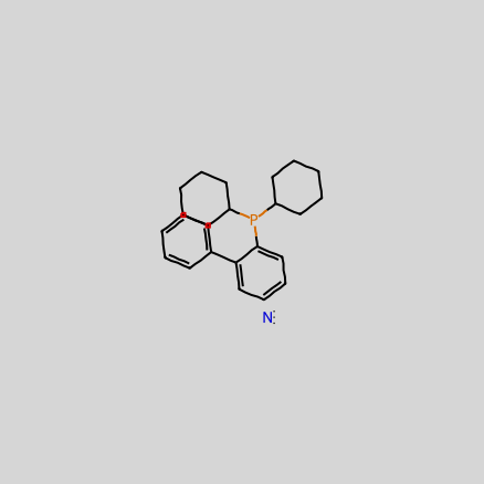 [N].c1ccc(-c2ccccc2P(C2CCCCC2)C2CCCCC2)cc1